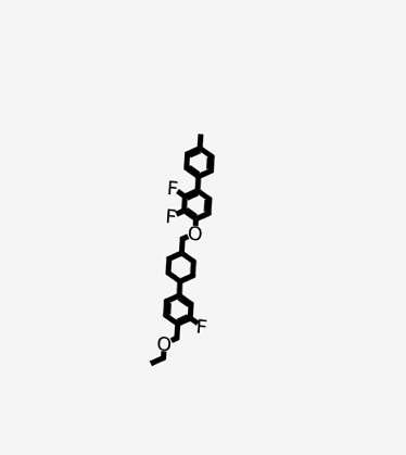 CCOCc1ccc(C2CCC(COc3ccc(-c4ccc(C)cc4)c(F)c3F)CC2)cc1F